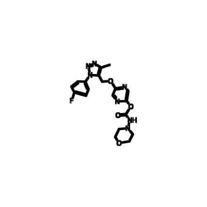 Cc1nnn(-c2ccc(F)cc2)c1COc1cnc(OC(=O)NN2CCOCC2)cn1